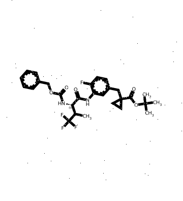 CC([C@H](NC(=O)OCc1ccccc1)C(=O)Nc1cc(CC2(C(=O)OC(C)(C)C)CC2)ccc1F)C(F)(F)F